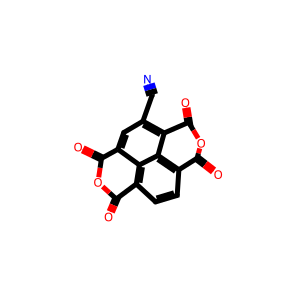 N#Cc1cc2c3c(ccc4c3c1C(=O)OC4=O)C(=O)OC2=O